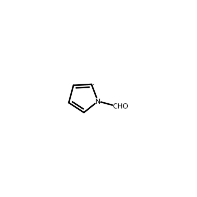 O=Cn1[c]ccc1